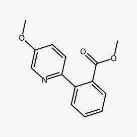 COC(=O)c1ccccc1-c1ccc(OC)cn1